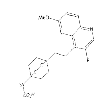 COc1ccc2ncc(F)c(CCC34CCC(NC(=O)O)(CC3)CC4)c2n1